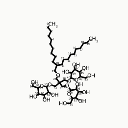 CCCCCCCCCCC(CCCCCCCCCC)COCC(COC1OC(CO)C(O)C(O)C1O)(COC1OC(CO)C(O)C(O)C1O)COC1OC(CO)C(O)C(O)C1O